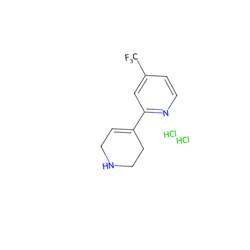 Cl.Cl.FC(F)(F)c1ccnc(C2=CCNCC2)c1